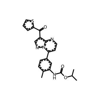 Cc1ccc(-c2ccnc3c(C(=O)c4cccs4)cnn23)cc1NC(=O)OC(C)C